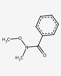 [CH2]N(OC)C(=O)c1ccccc1